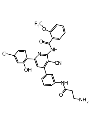 N#Cc1c(-c2cccc(NC(=O)CCN)c2)cc(-c2ccc(Cl)cc2O)nc1NC(=O)c1ccccc1OC(F)(F)F